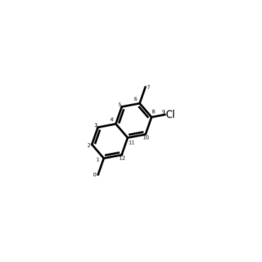 Cc1ccc2cc(C)c(Cl)cc2c1